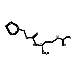 N=C(N)NCC[C@@H](NC(=O)OCc1ccccc1)C(=O)O